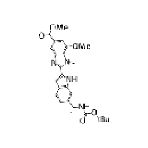 COC(=O)c1cc(OC)c2c(c1)nc(-c1cc3ccc([C@@H](C)NC(=O)OC(C)(C)C)cc3[nH]1)n2C